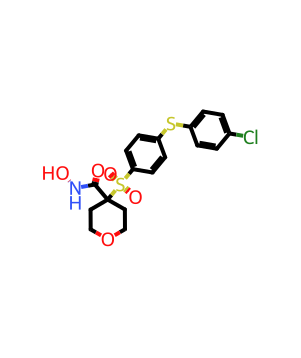 O=C(NO)C1(S(=O)(=O)c2ccc(Sc3ccc(Cl)cc3)cc2)CCOCC1